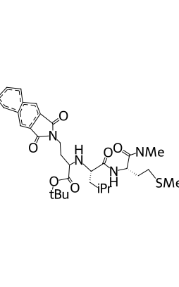 CNC(=O)[C@H](CCSC)NC(=O)[C@H](CC(C)C)NC(CCN1C(=O)c2cc3ccccc3cc2C1=O)C(=O)OC(C)(C)C